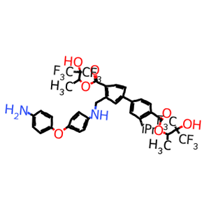 CC(C)c1cc(-c2ccc(C(=O)OC(C)C(O)(C(F)(F)F)C(F)(F)F)c(CNc3ccc(Oc4ccc(N)cc4)cc3)c2)ccc1C(=O)OC(C)C(O)(C(F)(F)F)C(F)(F)F